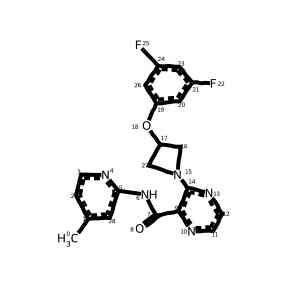 Cc1ccnc(NC(=O)c2nccnc2N2CC(Oc3cc(F)cc(F)c3)C2)c1